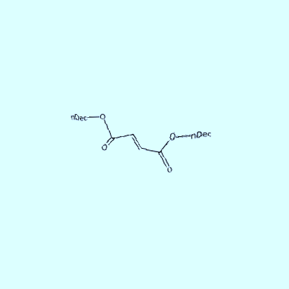 CCCCCCCCCCOC(=O)C=CC(=O)OCCCCCCCCCC